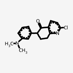 CN(C)c1cccc(C2CCc3nc(Cl)ccc3C2=O)c1